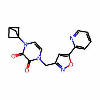 O=c1c(=O)n(C23CC(C2)C3)ccn1Cc1cc(-c2ccccn2)on1